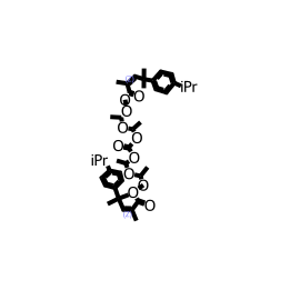 C/C(=C/C(C)(C)c1ccc(C(C)C)cc1)C(=O)OOC(C)OC(C)OC(=O)OC(C)OC(C)OOC(=O)/C(C)=C\C(C)(C)c1ccc(C(C)C)cc1